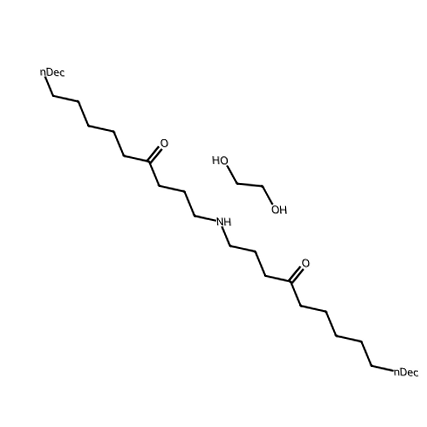 CCCCCCCCCCCCCCCC(=O)CCCNCCCC(=O)CCCCCCCCCCCCCCC.OCCO